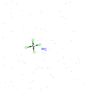 [Cl][Au-]([Cl])([Cl])[Cl].[NH4+]